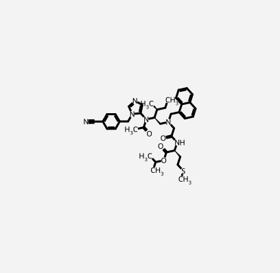 CC[C@H](C)[C@@H](CN(CC(=O)N[C@@H](CCSC)C(=O)OC(C)C)Cc1cccc2ccccc12)N(C(C)=O)c1cncn1Cc1ccc(C#N)cc1